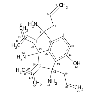 C=CCC(N)(CC=C)c1ccc(O)c(C(N)(CC=C)CC=C)c1C(N)(CC=C)CC=C